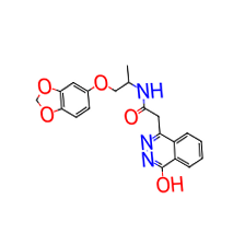 CC(COc1ccc2c(c1)OCO2)NC(=O)Cc1nnc(O)c2ccccc12